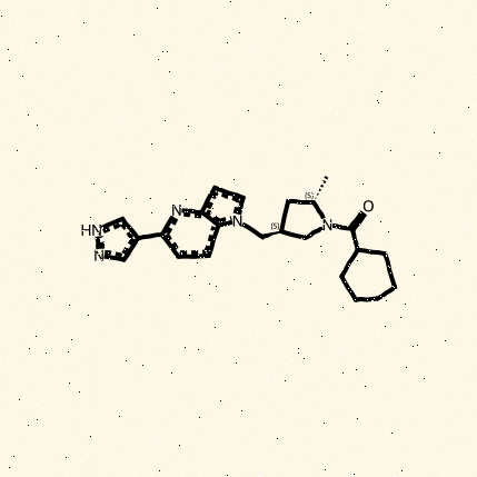 C[C@H]1C[C@H](Cn2ccc3nc(-c4cn[nH]c4)ccc32)CN1C(=O)C1CCCCC1